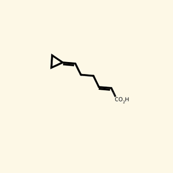 O=C(O)C=CCCC=C1CC1